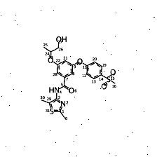 Cc1nc(NC(=O)c2cc(Oc3ccc(S(C)(=O)=O)cc3)cc(OC(C)CO)c2)c(C)s1